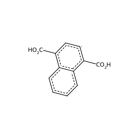 O=C(O)c1[c]cc(C(=O)O)c2ccccc12